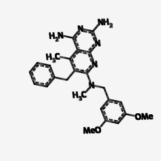 COc1cc(CN(C)c2nc3nc(N)nc(N)c3c(C)c2Cc2ccccc2)cc(OC)c1